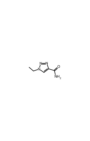 CCn1cc(C(N)=O)nn1